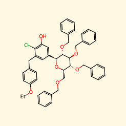 CCOc1ccc(Cc2cc([C@@H]3O[C@H](COCc4ccccc4)[C@@H](OCc4ccccc4)[C@H](OCc4ccccc4)[C@H]3OCc3ccccc3)cc(O)c2Cl)cc1